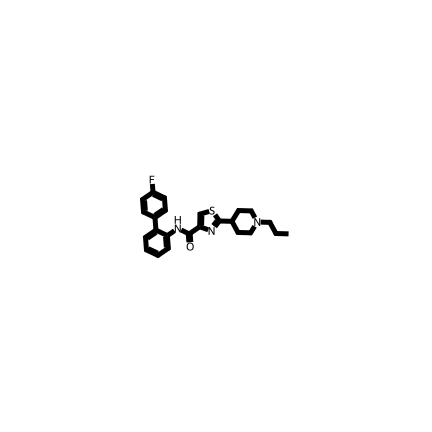 CCCN1CCC(c2nc(C(=O)Nc3ccccc3-c3ccc(F)cc3)cs2)CC1